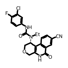 CCN(C(=O)Nc1ccc(F)c(Cl)c1)[C@H]1COCc2[nH]c(=O)c3cc(C#N)ccc3c21